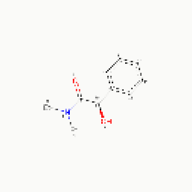 CCN(CC)C(=O)[C@H](O)c1ccccc1